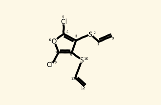 C=CSc1c(Cl)oc(Cl)c1SC=C